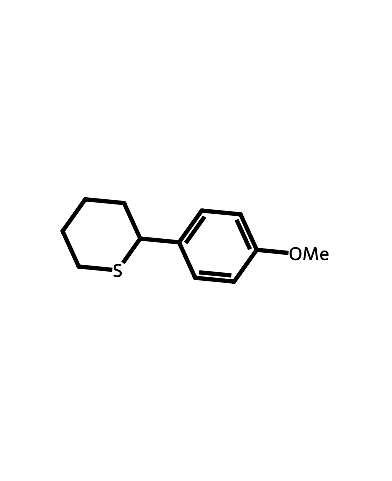 COc1ccc(C2CCCCS2)cc1